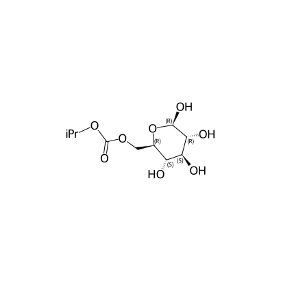 CC(C)OC(=O)OC[C@H]1O[C@@H](O)[C@H](O)[C@@H](O)[C@@H]1O